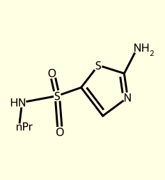 CCCNS(=O)(=O)c1cnc(N)s1